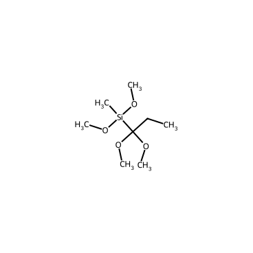 CCC(OC)(OC)[Si](C)(OC)OC